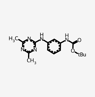 Cc1nc(C)nc(Nc2cccc(NC(=O)OC(C)(C)C)c2)n1